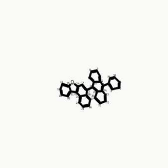 c1ccc(-c2c3ccccc3c(-c3cc4oc5ccccc5c4c4ccccc34)c3ccccc23)cc1